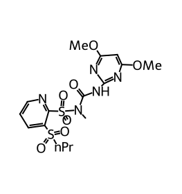 CCCS(=O)(=O)c1cccnc1S(=O)(=O)N(C)C(=O)Nc1nc(OC)cc(OC)n1